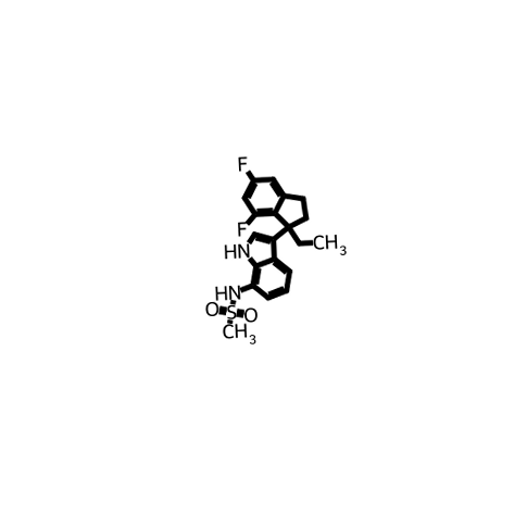 CCC1(c2c[nH]c3c(NS(C)(=O)=O)cccc23)CCc2cc(F)cc(F)c21